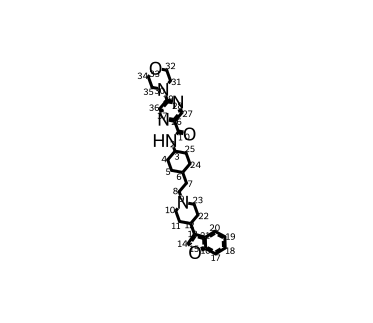 O=C(NC1CCC(CCN2CCC(c3coc4ccccc34)CC2)CC1)c1cnc(N2CCOCC2)cn1